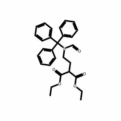 CCOC(=O)C(CCN(C=O)C(c1ccccc1)(c1ccccc1)c1ccccc1)C(=O)OCC